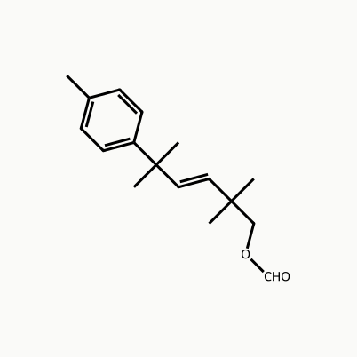 Cc1ccc(C(C)(C)/C=C/C(C)(C)COC=O)cc1